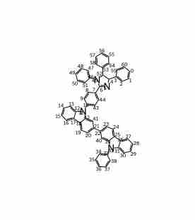 c1ccc(C2N=C(c3ccc(-n4c5ccccc5c5ccc(-c6ccc7c8ccccc8n(-c8ccccc8)c7c6)cc54)cc3)N(c3ccccc3)C2c2ccccc2)cc1